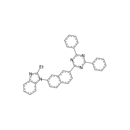 CCc1nc2ccccc2n1-c1ccc2ccc(-c3nc(-c4ccccc4)nc(-c4ccccc4)n3)cc2c1